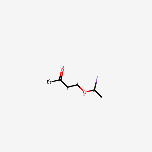 CCC(=O)CCOC(C)I